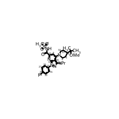 COC(C)(C)C1CCN(c2cc(C(=O)NS(C)(=O)=O)nc3c2c(C(C)C)nn3-c2ccc(F)cc2)CC1